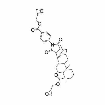 CC1C2=C3C4CCC5C(C)(C(=O)OCC6CO6)CCCC5(C)C4CC2C1C1C(=O)N(c2ccc(C(=O)OCC4CO4)cc2)C(=O)C31